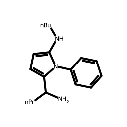 CCCCNc1ccc(C(N)CCC)n1-c1ccccc1